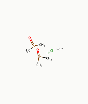 CS(C)=O.CS(C)=O.[Cl-].[Cl-].[Pd+2]